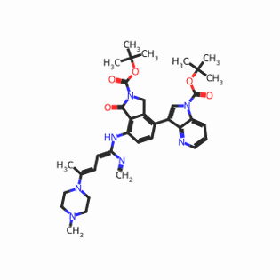 C=N/C(=C\C=C(/C)N1CCN(C)CC1)Nc1ccc(-c2cn(C(=O)OC(C)(C)C)c3cccnc23)c2c1C(=O)N(C(=O)OC(C)(C)C)C2